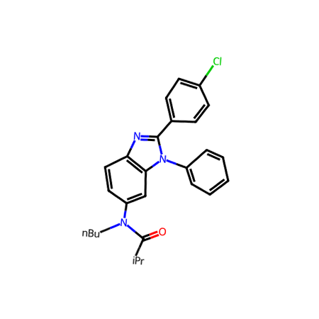 CCCCN(C(=O)C(C)C)c1ccc2nc(-c3ccc(Cl)cc3)n(-c3ccccc3)c2c1